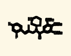 COc1cc(C(=O)N(C/C(C)=C/c2ccc(F)cc2F)C2CCCNC2)cc(OC)c1OC